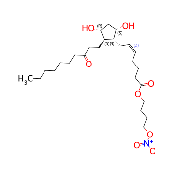 CCCCCCCC(=O)CC[C@@H]1[C@@H](C/C=C\CCCC(=O)OCCCCO[N+](=O)[O-])[C@@H](O)C[C@H]1O